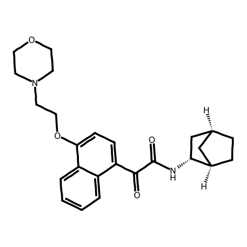 O=C(N[C@@H]1C[C@H]2CC[C@@H]1C2)C(=O)c1ccc(OCCN2CCOCC2)c2ccccc12